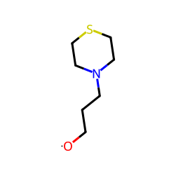 [O]CCCN1CCSCC1